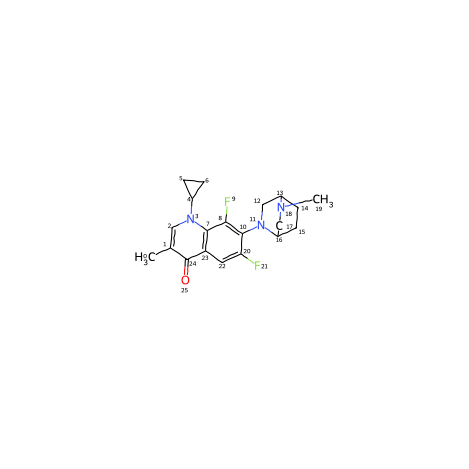 Cc1cn(C2CC2)c2c(F)c(N3CC4CCC3CN4C)c(F)cc2c1=O